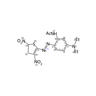 CCN(CC)c1ccc(/N=N/C2=C([N+](=O)[O-])CC([N+](=O)[O-])S2)c(NC(C)=O)c1